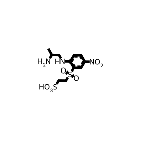 CC(N)CNc1ccc([N+](=O)[O-])cc1S(=O)(=O)CCS(=O)(=O)O